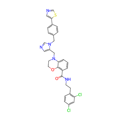 O=C(NCCc1ccc(Cl)cc1Cl)c1cccc2c1OCCN2Cc1cncn1Cc1ccc(-c2cncs2)cc1